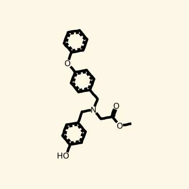 COC(=O)CN(Cc1ccc(O)cc1)Cc1ccc(Oc2ccccc2)cc1